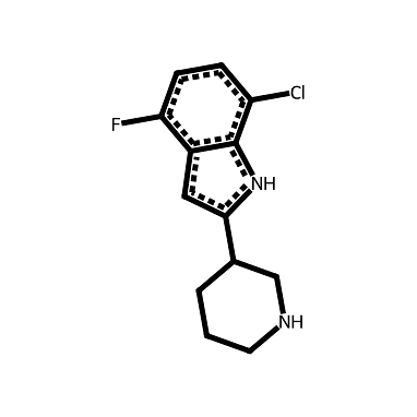 Fc1ccc(Cl)c2[nH]c(C3CCCNC3)cc12